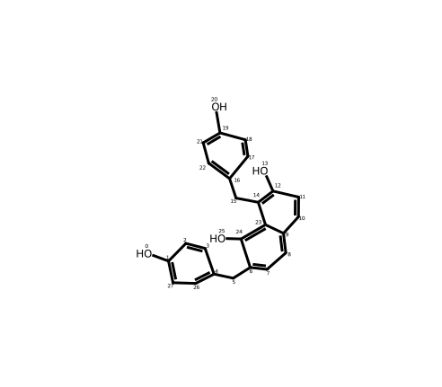 Oc1ccc(Cc2ccc3ccc(O)c(Cc4ccc(O)cc4)c3c2O)cc1